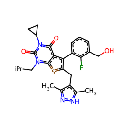 Cc1n[nH]c(C)c1Cc1sc2c(c1-c1cccc(CO)c1F)c(=O)n(C1CC1)c(=O)n2CC(C)C